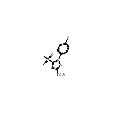 CS(=O)(=O)c1cc(C(=O)O)nn1-c1ccc(F)cc1